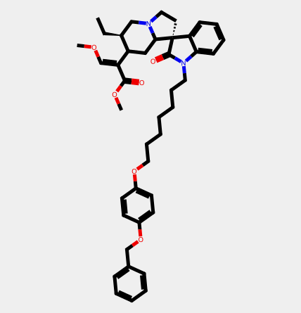 CC[C@H]1CN2CC[C@]3(C(=O)N(CCCCCCCOc4ccc(OCc5ccccc5)cc4)c4ccccc43)C2CC1/C(=C\OC)C(=O)OC